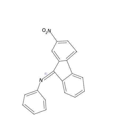 O=[N+]([O-])c1ccc2c(c1)/C(=N/c1ccccc1)c1ccccc1-2